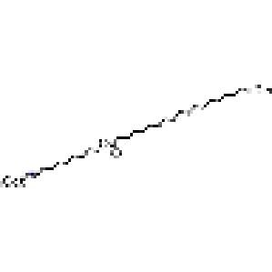 CCCCCCCC/C=C/CCCCCCCCOC(=O)CCCCCCCCCCCCCCCCCCCCCCCCCCC